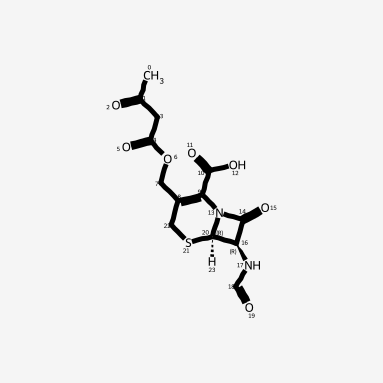 CC(=O)CC(=O)OCC1=C(C(=O)O)N2C(=O)[C@@H](NC=O)[C@H]2SC1